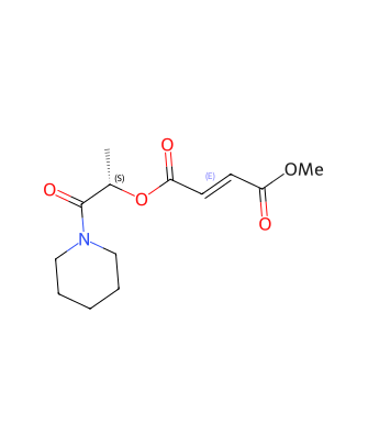 COC(=O)/C=C/C(=O)O[C@@H](C)C(=O)N1CCCCC1